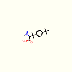 CN[C@H](C(=O)O)C(C)(C)c1ccc(C(C)(C)C)cc1